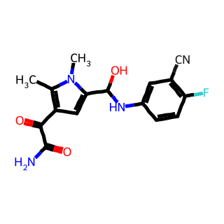 Cc1c(C(=O)C(N)=O)cc(C(O)Nc2ccc(F)c(C#N)c2)n1C